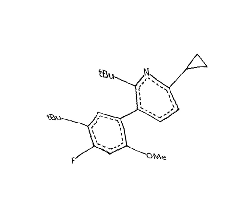 COc1cc(F)c(C(C)(C)C)cc1-c1ccc(C2CC2)nc1C(C)(C)C